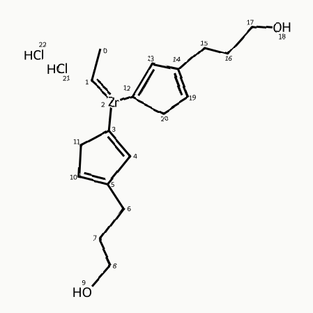 C[CH]=[Zr]([C]1=CC(CCCO)=CC1)[C]1=CC(CCCO)=CC1.Cl.Cl